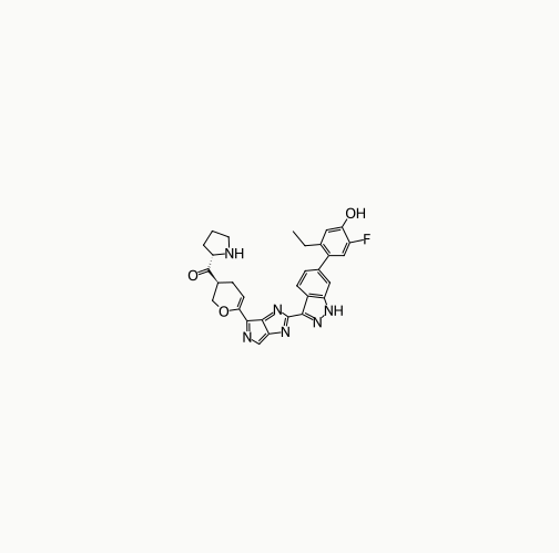 CCc1cc(O)c(F)cc1-c1ccc2c(C3=NC4=CN=C(C5=CC[C@H](C(=O)[C@@H]6CCCN6)CO5)C4=N3)n[nH]c2c1